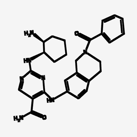 NC(=O)c1cnc(N[C@@H]2CCCC[C@@H]2N)nc1Nc1ccc2c(c1)CN(C(=O)c1ccccc1)CC2